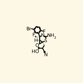 N#CC(C[C@]12C[C@H]1[C@@](CF)(c1cc(Br)ccc1F)N=C(N)S2)C(=O)O